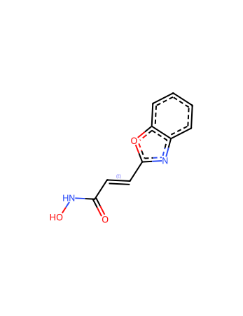 O=C(/C=C/c1nc2ccccc2o1)NO